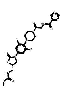 COC(=O)NC[C@H]1CN(c2cc(F)c(N3CCN(C(=O)CNC(=O)c4cscn4)CC3)c(F)c2)C(=O)O1